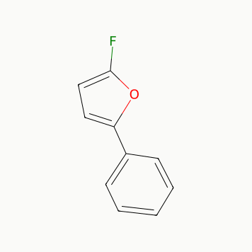 Fc1ccc(-c2ccccc2)o1